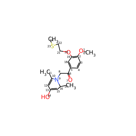 COc1ccc(C(=O)CN2C(C)=CC(O)=CC2C)cc1OCCSC